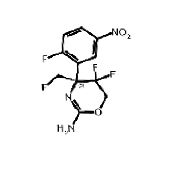 NC1=N[C@](CF)(c2cc([N+](=O)[O-])ccc2F)C(F)(F)CO1